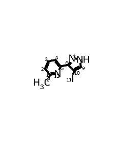 Cc1cccc(-c2n[nH]cc2I)n1